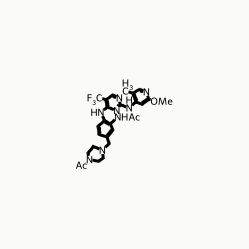 COc1cc(Nc2ncc(C(F)(F)F)c(Nc3ccc(CN4CCN(C(C)=O)CC4)cc3NC(C)=O)n2)c(C)cn1